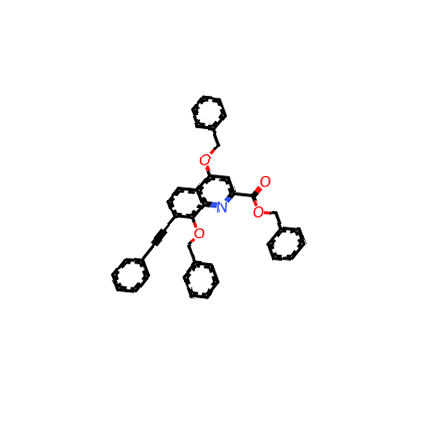 O=C(OCc1ccccc1)c1cc(OCc2ccccc2)c2ccc(C#Cc3ccccc3)c(OCc3ccccc3)c2n1